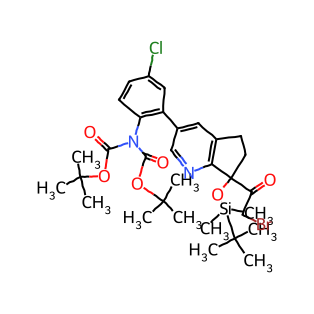 CC(C)(C)OC(=O)N(C(=O)OC(C)(C)C)c1ccc(Cl)cc1-c1cnc2c(c1)CCC2(O[Si](C)(C)C(C)(C)C)C(=O)CBr